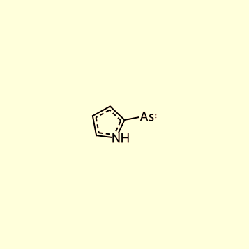 [As]c1ccc[nH]1